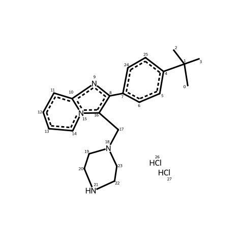 CC(C)(C)c1ccc(-c2nc3ccccn3c2CN2CCNCC2)cc1.Cl.Cl